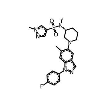 Cc1cc2c(cnn2-c2ccc(F)cc2)cc1N1CCC[C@H](N(C)S(=O)(=O)c2cnn(C)c2)C1